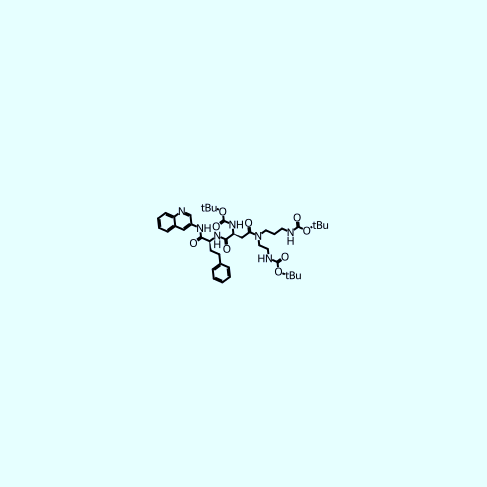 CC(C)(C)OC(=O)NCCCN(CCNC(=O)OC(C)(C)C)C(=O)C[C@H](NC(=O)OC(C)(C)C)C(=O)N[C@@H](CCc1ccccc1)C(=O)Nc1cnc2ccccc2c1